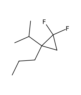 CCCC1(C(C)C)CC1(F)F